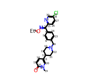 CCO/N=C(\c1ccc(CN2CCC(c3ccc(=O)n(C)c3)CC2)cc1)c1ccc(Cl)cn1